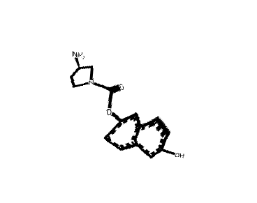 N[C@@H]1CCN(C(=O)Oc2ccc3cc(O)ccc3c2)C1